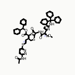 CO/N=C(/C(=O)NC1C(=O)N2C(C(=O)OC(c3ccccc3)c3ccccc3)=C(/C=C/Sc3ccc(NC(C)=O)nn3)CSC12)c1csc(NC(c2ccccc2)(c2ccccc2)c2ccccc2)n1